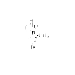 CN1CN(C2CCCCNC2=O)c2ccc(Br)cc21